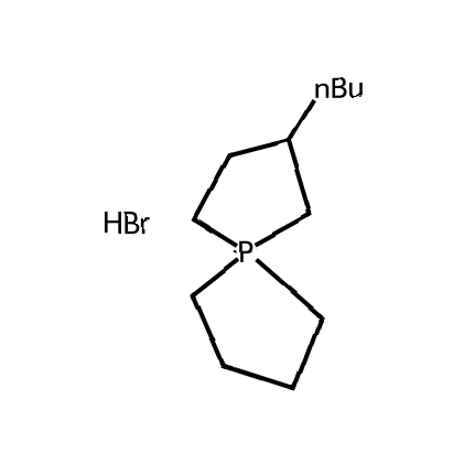 Br.CCCCC1CC[P]2(CCCC2)C1